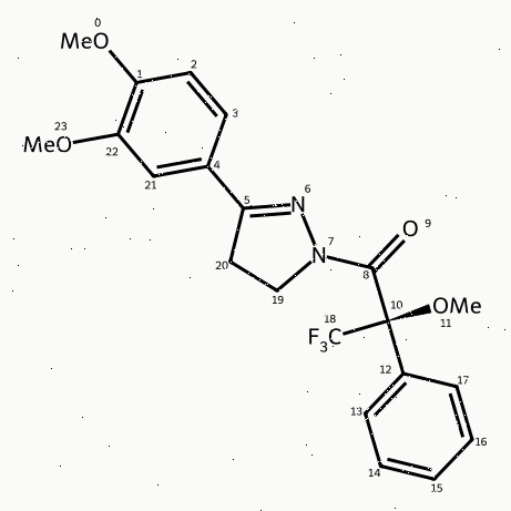 COc1ccc(C2=NN(C(=O)[C@](OC)(c3ccccc3)C(F)(F)F)CC2)cc1OC